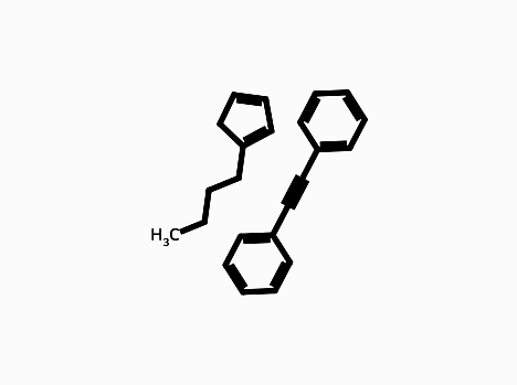 C(#Cc1ccccc1)c1ccccc1.CCCCC1=CC=CC1